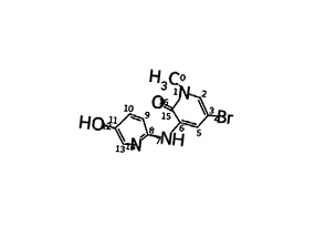 Cn1cc(Br)cc(Nc2ccc(O)cn2)c1=O